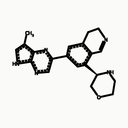 Cc1c[nH]c2ncc(-c3cc4c(c([C@@H]5COCCN5)c3)C=NCC4)nc12